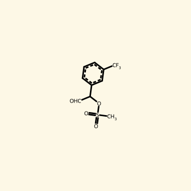 CS(=O)(=O)OC(C=O)c1cccc(C(F)(F)F)c1